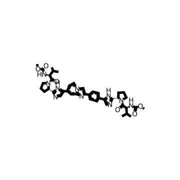 COC(=O)N[C@H](C(=O)N1CCC[C@H]1c1ncc(-c2ccc(-c3cn4ccc(-c5cnc([C@@H]6CCCN6C(=O)[C@@H](NC(=O)OC)C(C)C)[nH]5)cc4n3)cc2)[nH]1)C(C)C